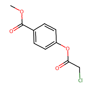 COC(=O)c1ccc(OC(=O)CCl)cc1